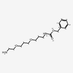 NCCOCCCOCCCNC(=O)OCc1ccccc1